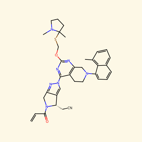 C=CC(=O)N1Cc2nn(-c3nc(OCSC4(C)CCCN4C)nc4c3CCN(c3cccc5cccc(C)c35)C4)cc2[C@@H]1CC#N